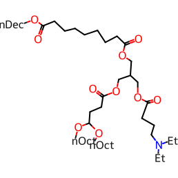 CCCCCCCCCCOC(=O)CCCCCCCC(=O)OCC(COC(=O)CCCN(CC)CC)COC(=O)CCC(OCCCCCCCC)OCCCCCCCC